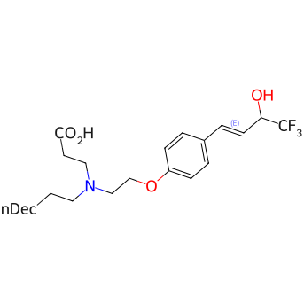 CCCCCCCCCCCCN(CCOc1ccc(/C=C/C(O)C(F)(F)F)cc1)CCC(=O)O